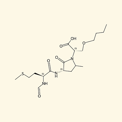 CCCCOC[C@@H](C(=O)O)N1C(=O)[C@@H](NC(=O)[C@H](CCSC)NC=O)CC1C